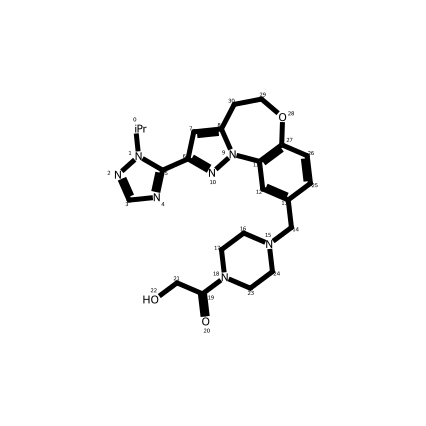 CC(C)n1ncnc1-c1cc2n(n1)-c1cc(CN3CCN(C(=O)CO)CC3)ccc1OCC2